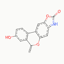 C=C1Oc2cc3[nH]c(=O)oc3cc2-c2ccc(O)cc21